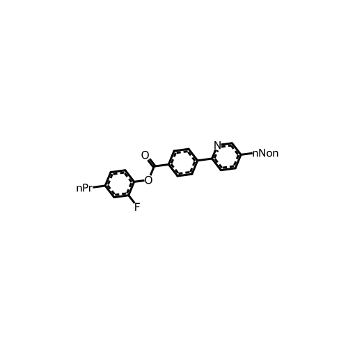 CCCCCCCCCc1ccc(-c2ccc(C(=O)Oc3ccc(CCC)cc3F)cc2)nc1